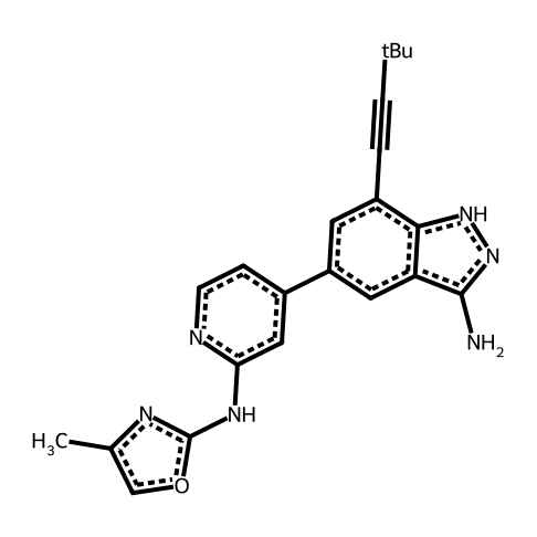 Cc1coc(Nc2cc(-c3cc(C#CC(C)(C)C)c4[nH]nc(N)c4c3)ccn2)n1